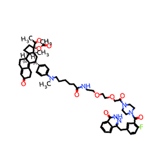 CC(=O)O[C@]1(C(C)=O)CC[C@H]2[C@@H]3CCC4=CC(=O)CCC4=C3[C@@H](c3ccc(N(C)CCCCCC(=O)NCCOCCOCC(=O)N4CCN(C(=O)c5cc(Cc6n[nH]c(=O)c7ccccc67)ccc5F)CC4)cc3)C[C@@]21C